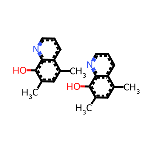 Cc1cc(C)c2cccnc2c1O.Cc1cc(C)c2cccnc2c1O